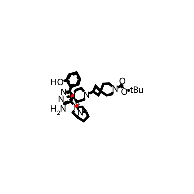 CN1CCN(C2CC3(CCN(C(=O)OC(C)(C)C)CC3)C2)C[C@@H]1CN1C2CCC1CN(c1cc(-c3ccccc3O)nnc1N)C2